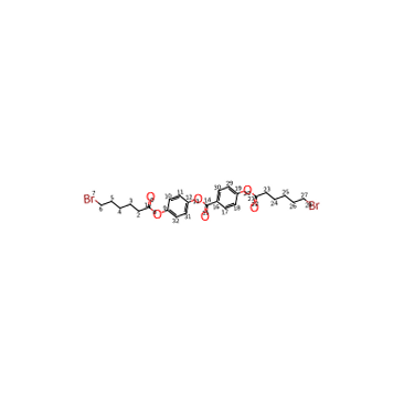 O=C(CCCCCBr)Oc1ccc(OC(=O)c2ccc(OC(=O)CCCCCBr)cc2)cc1